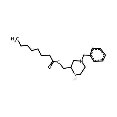 CCCCCCCC(=O)OCC1CN(Cc2ccccc2)CCN1